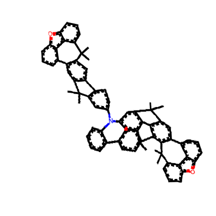 CC1(C)c2cc(N(c3cc4c5c(c3)C(C)(C)c3c-5c(cc5c3C(C)(C)c3cccc6oc7cccc-5c7c36)C4(C)C)c3ccccc3-c3ccccc3)ccc2-c2cc3c(cc21)-c1cccc2oc4cccc(c4c12)C3(C)C